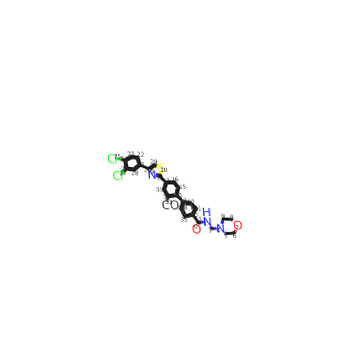 O=C(NCN1CCOCC1)c1ccc(-c2ccc(-c3nc(-c4ccc(Cl)c(Cl)c4)cs3)cc2C(=O)O)cc1